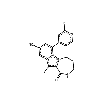 Cc1c2n(c3c(-c4ccnc(F)c4)cc(C#N)cc13)CCCNC2=O